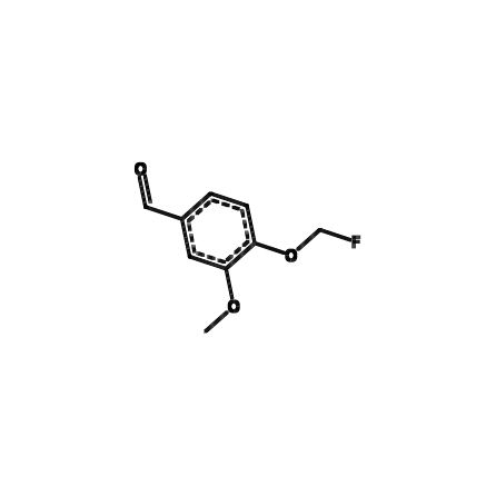 COc1cc(C=O)ccc1OCF